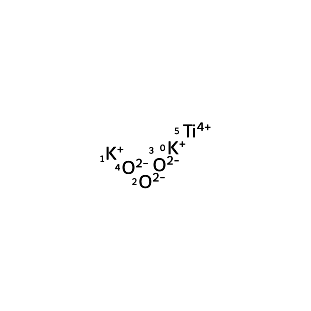 [K+].[K+].[O-2].[O-2].[O-2].[Ti+4]